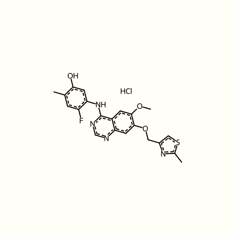 COc1cc2c(Nc3cc(O)c(C)cc3F)ncnc2cc1OCc1csc(C)n1.Cl